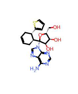 Nc1ncnc2c1ncn2[C@]1([C@H]2CC=CC[C@@H]2c2cccs2)O[C@H](CO)[C@@H](O)[C@H]1O